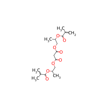 C=C(C)C(=O)OC(C)COC(=O)CC(=O)OCC(C)OC(=O)C(=C)C